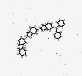 c1ccc(N(c2ccccc2)c2ccc3nc(-c4ccc5nc(-c6ccc7sc8ccccc8c7c6)sc5c4)sc3c2)cc1